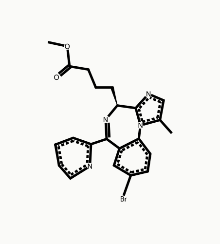 COC(=O)CCC[C@@H]1N=C(c2ccccn2)c2cc(Br)ccc2-n2c(C)cnc21